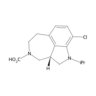 CC(C)N1C[C@@H]2CN(C(=O)O)CCc3ccc(Cl)c1c32